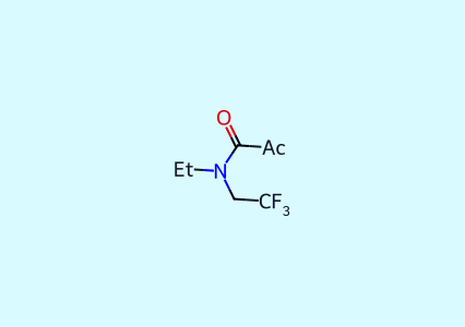 CCN(CC(F)(F)F)C(=O)C(C)=O